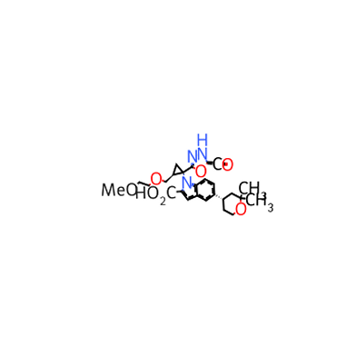 COCCOC[C@H]1C[C@]1(C1=NNC(=C=O)O1)n1c(C(=O)O)cc2cc([C@H]3CCOC(C)(C)C3)ccc21